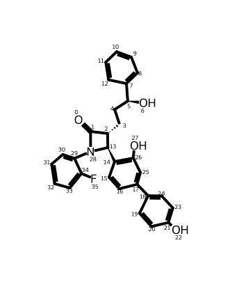 O=C1[C@H](CC[C@H](O)c2ccccc2)[C@@H](c2ccc(-c3ccc(O)cc3)cc2O)N1c1ccccc1F